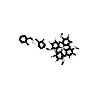 COc1c(F)c(F)c(F)c([B-](c2c(F)c(F)c(F)c(OC)c2F)(c2c(F)c(F)c(F)c(OC)c2F)c2c(F)c(F)c(F)c(OC)c2F)c1F.Cc1ccccc1C[NH2+]Cc1ccccc1C